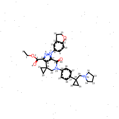 CCOC(=O)c1nn(-c2ccc3c(c2)CCO3)c2c1C1(CC1)CN(c1ccc(C3(CN4CCCC4)CC3)cc1)C2=O